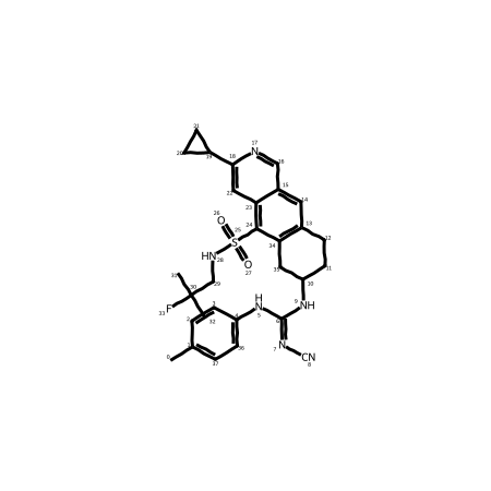 Cc1ccc(N/C(=N/C#N)NC2CCc3cc4cnc(C5CC5)cc4c(S(=O)(=O)NCC(C)(C)F)c3C2)cc1